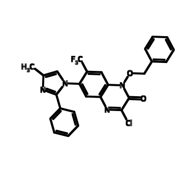 Cc1cn(-c2cc3nc(Cl)c(=O)n(OCc4ccccc4)c3cc2C(F)(F)F)c(-c2ccccc2)n1